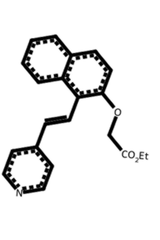 CCOC(=O)COc1ccc2ccccc2c1C=Cc1ccncc1